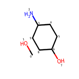 CO.NC1CCC(O)CC1